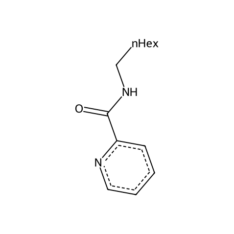 CCCCCCCNC(=O)c1ccccn1